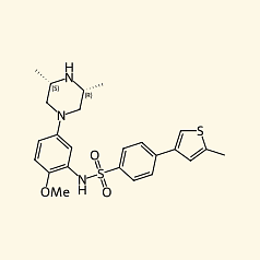 COc1ccc(N2C[C@@H](C)N[C@@H](C)C2)cc1NS(=O)(=O)c1ccc(-c2csc(C)c2)cc1